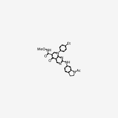 CCc1ccc(-n2cc(C(=O)NOC)c(=O)c3cnc(Nc4ccc5c(c4)N(C(C)=O)CC5)nc32)cc1